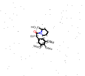 CC[C@H](C(=O)N1CCCCC1C(=O)O)c1cc(OC)c(OC)c(OC)c1